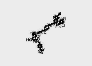 COc1cc(Nc2c(C#N)cnc3cc(OCCCN4CCN(C(=O)CCCC(=O)N[C@H](C(=O)N5CC(O)CC5C(=O)NCc5ccc(-c6scnc6C)cc5)C(C)(C)C)CC4)c(OC)cc23)c(Cl)cc1Cl